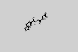 O=C(NCC(=O)c1cc(Cl)cs1)c1ccc2c(c1)CCO2